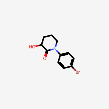 O=C1C(O)CCCN1c1ccc(Br)cc1